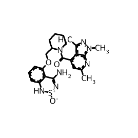 Cc1cc(C(=O)N2CCCCC2COc2cccc3c2C(N)=N[S+]([O-])N3)c2c(C)nn(C)c2n1